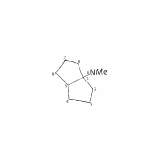 CNC12CCCC1CCC2